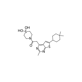 Cc1nc(CC(=O)N2CCS(O)(O)CC2)c2cc(C3CCC(C)(C)CC3)sc2n1